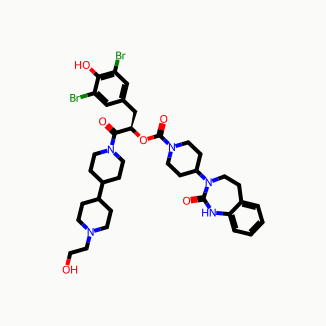 O=C(O[C@H](Cc1cc(Br)c(O)c(Br)c1)C(=O)N1CCC(C2CCN(CCO)CC2)CC1)N1CCC(N2CCc3ccccc3NC2=O)CC1